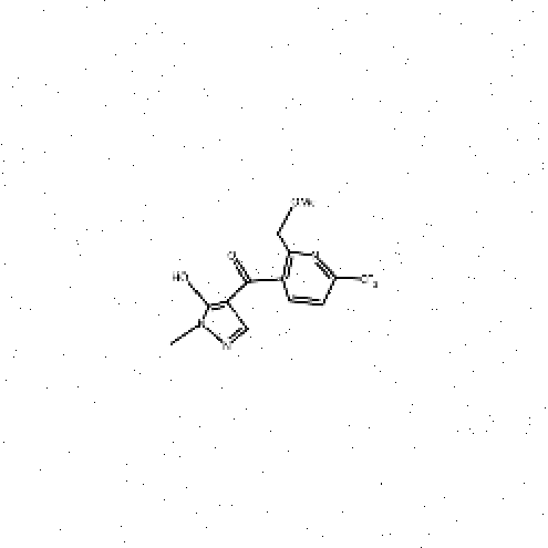 COCc1nc(C(F)(F)F)ccc1C(=O)c1cnn(C)c1O